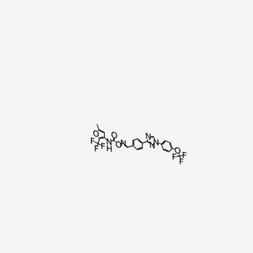 Cc1cc(NC(=O)O/N=C/c2ccc(-c3ncn(-c4ccc(OC(F)(F)F)cc4)n3)cc2)c(C(F)(F)F)o1